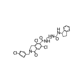 O=C(NCCNC(=O)c1c(Cl)cc2c(c1Cl)CCN(Cc1ccc(Cl)cc1)C2=O)N[C@@H]1CCc2ccccc21